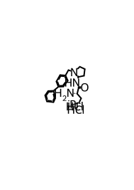 CC(C)C[C@H](N)C(=O)NC1CCCN1Cc1ccc(-c2ccccc2)cc1.Cl.Cl